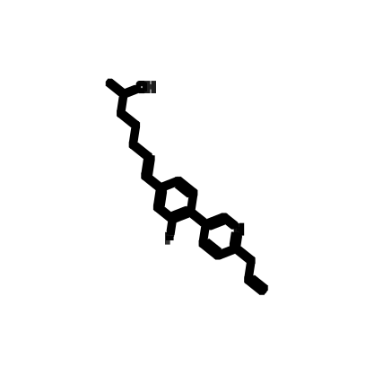 C=CCc1ccc(-c2ccc(C=CCCCC(C)O)cc2F)cn1